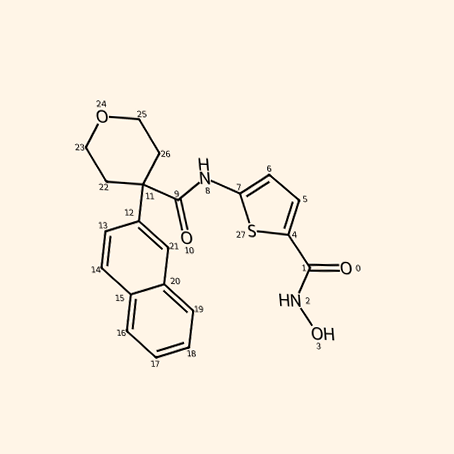 O=C(NO)c1ccc(NC(=O)C2(c3ccc4ccccc4c3)CCOCC2)s1